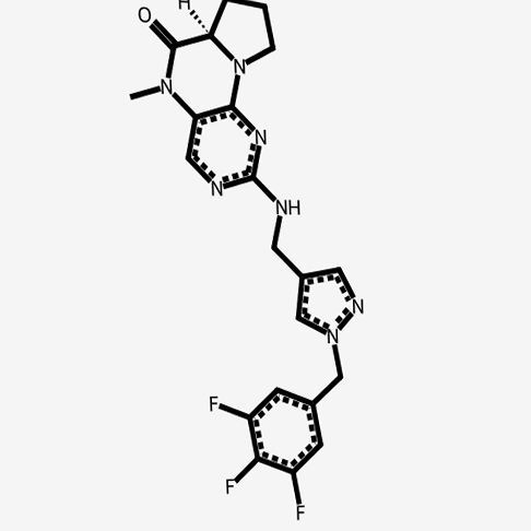 CN1C(=O)[C@H]2CCCN2c2nc(NCc3cnn(Cc4cc(F)c(F)c(F)c4)c3)ncc21